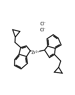 C1=C(CC2CC2)c2ccccc2[CH]1[Zr+2][CH]1C=C(CC2CC2)c2ccccc21.[Cl-].[Cl-]